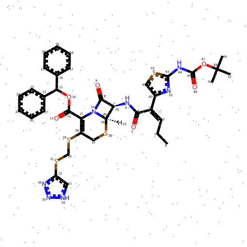 CC/C=C(\C(=O)N[C@@H]1C(=O)N2C(C(=O)OC(c3ccccc3)c3ccccc3)=C(SCSc3c[nH]nn3)CS[C@H]12)c1csc(NC(=O)OC(C)(C)C)n1